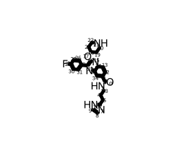 O=C(NCCCc1ncc[nH]1)c1ccc2nc(OC3CCNCC3)c(-c3ccc(F)cc3)nc2c1